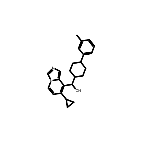 Cc1cccc(C2CCC(C(O)c3c(C4CC4)ccn4cncc34)CC2)c1